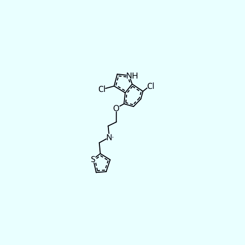 Clc1ccc(OCC[N]Cc2cccs2)c2c(Cl)c[nH]c12